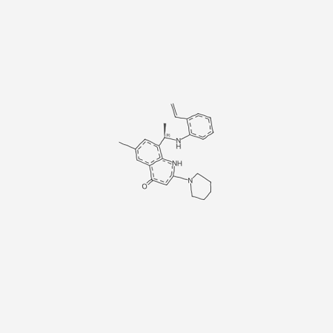 C=Cc1ccccc1N[C@H](C)c1cc(C)cc2c(=O)cc(N3CCCCC3)[nH]c12